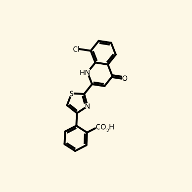 O=C(O)c1ccccc1-c1csc(-c2cc(=O)c3cccc(Cl)c3[nH]2)n1